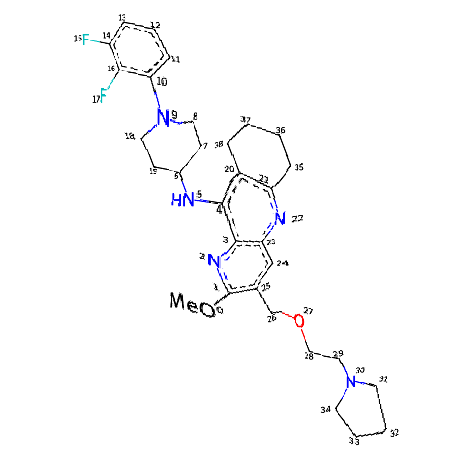 COc1nc2c(NC3CCN(c4cccc(F)c4F)CC3)c3c(nc2cc1COCCN1CCCC1)CCCC3